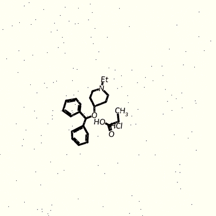 CCC(=O)O.CCN1CCC(OC(c2ccccc2)c2ccccc2)CC1.Cl